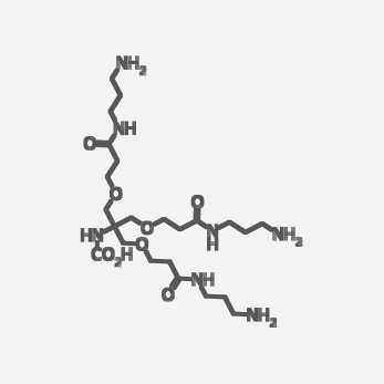 NCCCNC(=O)CCOCC(COCCC(=O)NCCCN)(COCCC(=O)NCCCN)NC(=O)O